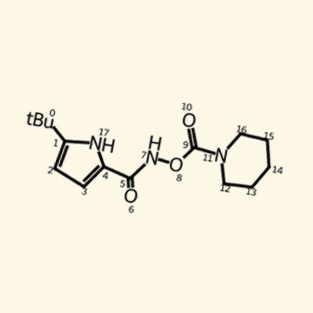 CC(C)(C)c1ccc(C(=O)NOC(=O)N2CCCCC2)[nH]1